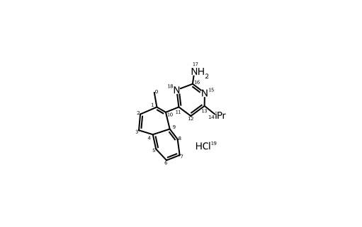 Cc1ccc2ccccc2c1-c1cc(C(C)C)nc(N)n1.Cl